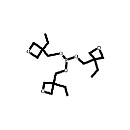 CCC1(COP(OCC2(CC)COC2)OCC2(CC)COC2)COC1